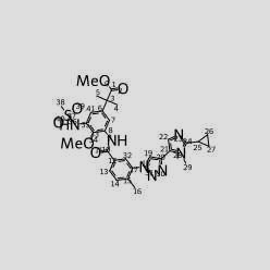 COC(=O)C(C)(C)c1cc(NC(=O)c2ccc(C)c(-n3cc(-c4cnc(C5CC5)n4C)nn3)c2)c(OC)c(NS(C)(=O)=O)c1